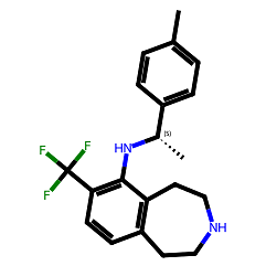 Cc1ccc([C@H](C)Nc2c(C(F)(F)F)ccc3c2CCNCC3)cc1